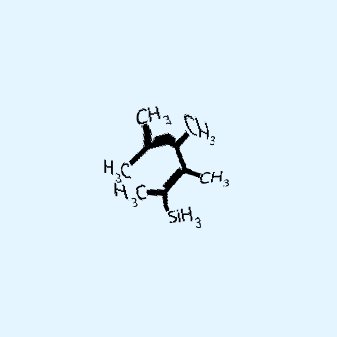 CC(C)=C(C)/C(C)=C(\C)[SiH3]